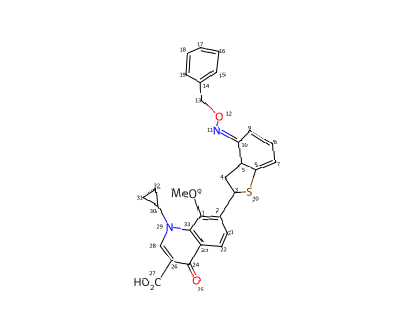 COc1c(C2CC3C(=CC=CC3=NOCc3ccccc3)S2)ccc2c(=O)c(C(=O)O)cn(C3CC3)c12